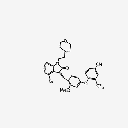 COc1cc(Oc2ccc(C#N)cc2C(F)(F)F)ccc1C=C1C(=O)N(CCN2CCOCC2)c2cccc(Br)c21